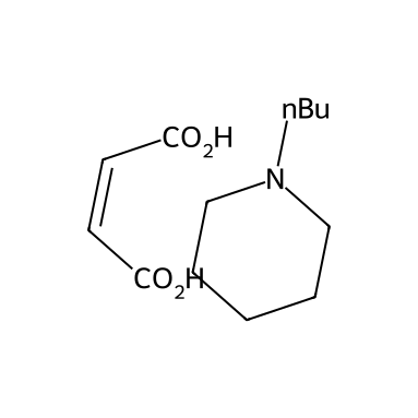 CCCCN1CCCCC1.O=C(O)/C=C\C(=O)O